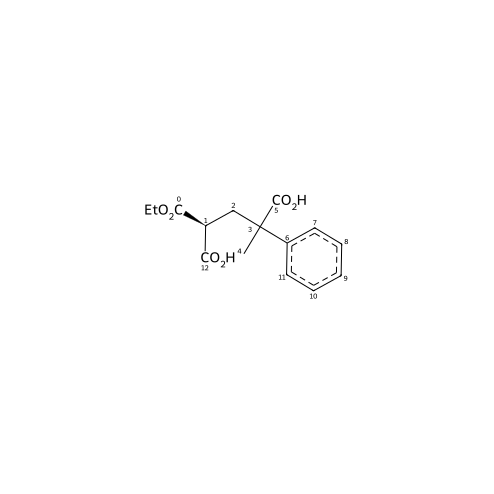 CCOC(=O)[C@@H](CC(C)(C(=O)O)c1ccccc1)C(=O)O